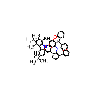 Bc1c(B)c(B)c2c(c1B)c1cc(C(C)(C)C)ccc1n2-c1cc2c3c(c1)N(c1c(-c4ccccc4)cccc1-c1ccccc1)c1ccccc1B3c1ccccc1O2